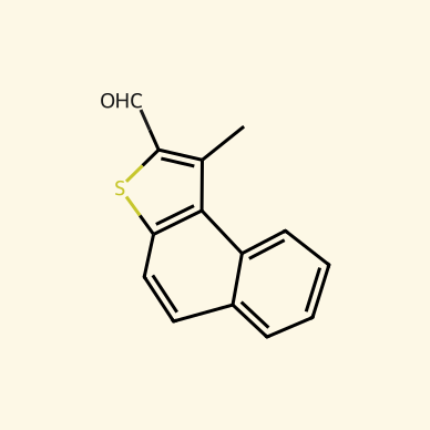 Cc1c(C=O)sc2ccc3ccccc3c12